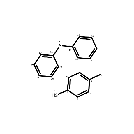 Cc1ccc(S)cc1.c1ccc(Sc2ccccc2)cc1